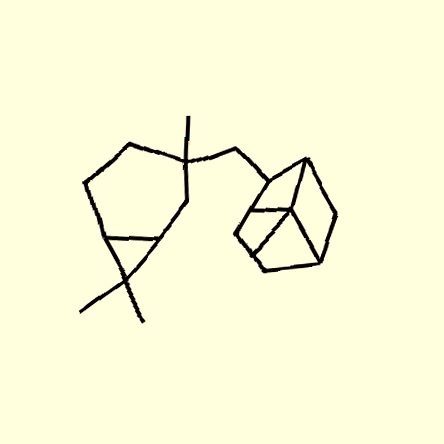 CC1(CC2CCC3CC2C3(C)C)CCC2C(C1)C2(C)C